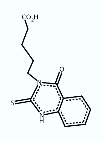 O=C(O)CCCCn1c(=S)[nH]c2ccccc2c1=O